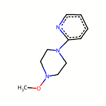 CON1CCN(c2ccccn2)CC1